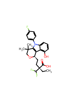 CC[C@@](CC[C@H]1OCC(C)(C)c2c1c1c(O)cccc1n2-c1ccc(F)cc1)(C(=O)O)C(F)F